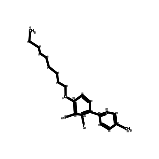 CCCCCCCCCOc1ccc(-c2ccc(C)cn2)c(F)c1F